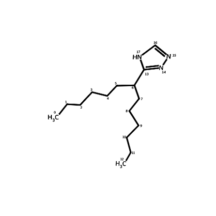 CCCCCCC(CCCCCC)c1nnc[nH]1